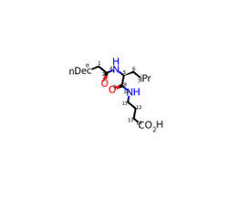 CCCCCCCCCCCC(=O)N[C@@H](CC(C)C)C(=O)NCCCC(=O)O